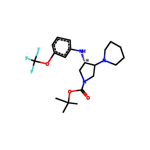 CC(C)(C)OC(=O)N1CC(N2CCCCC2)[C@@H](Nc2cccc(OC(F)(F)F)c2)C1